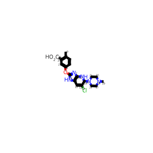 Cc1ccc(Oc2nc3c([nH]2)C=C(Cl)C(N2CCN(C)CC2)N3)cc1C(=O)O